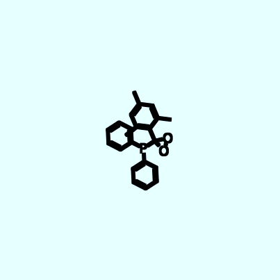 Cc1cc(C)c(C2(P(c3ccccc3)c3ccccc3)OO2)c(C)c1